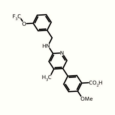 COc1ccc(-c2cnc(NCc3cccc(OC(F)(F)F)c3)cc2C)cc1C(=O)O